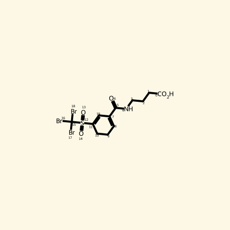 O=C(O)CCCNC(=O)C1=CCCC(S(=O)(=O)C(Br)(Br)Br)=C1